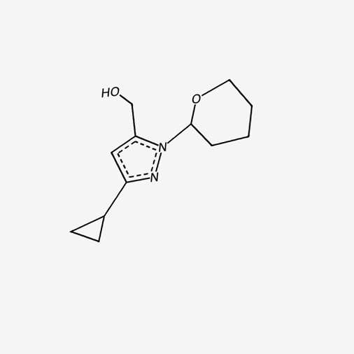 OCc1cc(C2CC2)nn1C1CCCCO1